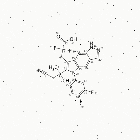 CC(C)(CC#N)c1c(CC(F)(F)C(=O)O)c2cc3[nH]ncc3cc2n1-c1ccc(F)c(F)c1